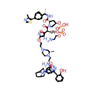 Cc1ncsc1-c1ccc([C@H](C)NC(=O)[C@@H]2C[C@@H](OP(=O)(O)OP(=O)(O)OCCN)CN2C(=O)C(c2cc(OCCN3CCN(CCOc4cc(N5C6CCC5CN(c5cc(-c7ccccc7O)nnc5N)C6)ccn4)[C@H](C)C3)no2)C(C)C)cc1